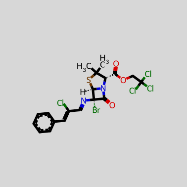 CC1(C)S[C@H]2N(C(=O)[C@@]2(Br)N=CC(Cl)=Cc2ccccc2)[C@H]1C(=O)OCC(Cl)(Cl)Cl